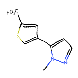 Cn1nccc1-c1csc(C(=O)O)c1